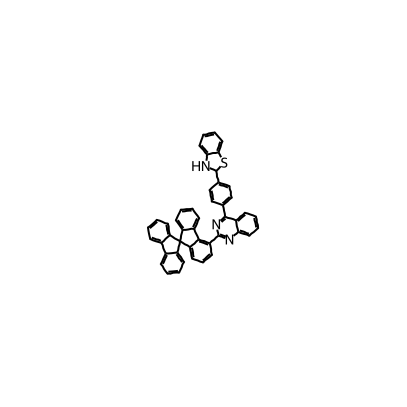 c1ccc2c(c1)NC(c1ccc(-c3nc(-c4cccc5c4-c4ccccc4C54c5ccccc5-c5ccccc54)nc4ccccc34)cc1)S2